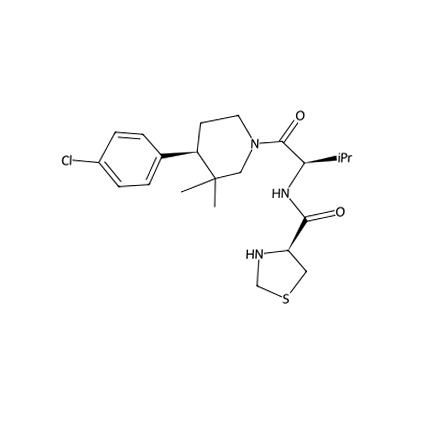 CC(C)[C@@H](NC(=O)[C@H]1CSCN1)C(=O)N1CC[C@H](c2ccc(Cl)cc2)C(C)(C)C1